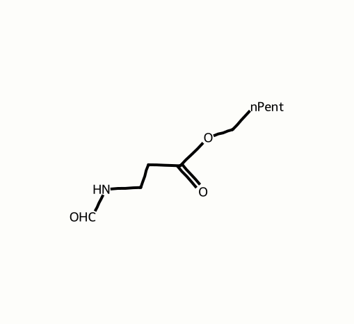 CCCCCCOC(=O)CCNC=O